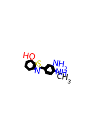 CNc1ccc(-c2nc3c(s2)C(O)CCC3)cc1N